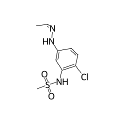 C/C=N\Nc1ccc(Cl)c(NS(C)(=O)=O)c1